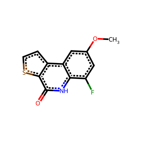 COc1cc(F)c2[nH]c(=O)c3sccc3c2c1